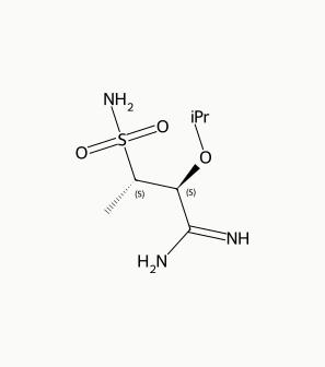 CC(C)O[C@@H](C(=N)N)[C@H](C)S(N)(=O)=O